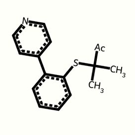 CC(=O)C(C)(C)Sc1ccccc1-c1ccncc1